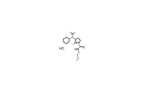 CCCCNC(=O)c1ccc(C(c2ccccc2)N(C)C)n1C.Cl